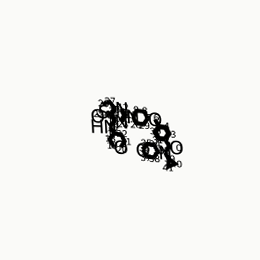 O=C(c1ccc(OC2CCN(c3nc4c(c(NC5CCOCC5)n3)[S+]([O-])CC4)CC2)cc1)N(C1CCOCC1)C1CC1